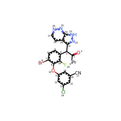 CC(C)C(=O)C(c1ccc(Br)c(Oc2cc(Cl)cc(C#N)c2)c1F)c1n[nH]c2nnccc12